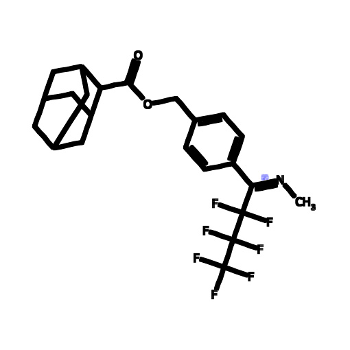 C/N=C(/c1ccc(COC(=O)C2C3CC4CC(C3)CC2C4)cc1)C(F)(F)C(F)(F)C(F)(F)F